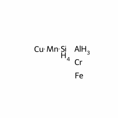 [AlH3].[Cr].[Cu].[Fe].[Mn].[SiH4]